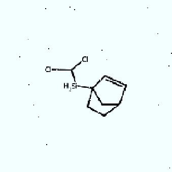 ClC(Cl)[SiH2]C12C=CC(CC1)C2